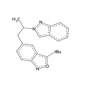 CC(Cc1ccc2noc(C(C)(C)C)c2c1)n1cc2ccccc2n1